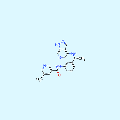 Cc1cncc(C(=O)Nc2cccc([C@H](C)Nc3cncc4[nH]ncc34)c2)c1